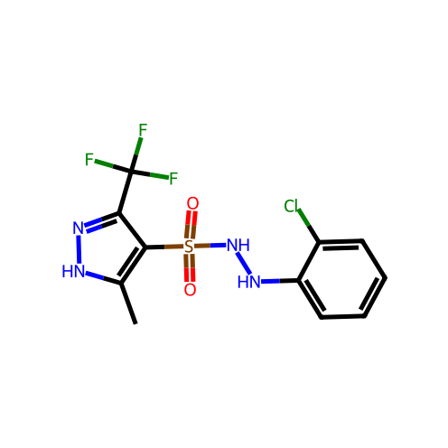 Cc1[nH]nc(C(F)(F)F)c1S(=O)(=O)NNc1ccccc1Cl